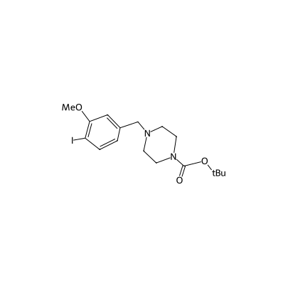 COc1cc(CN2CCN(C(=O)OC(C)(C)C)CC2)ccc1I